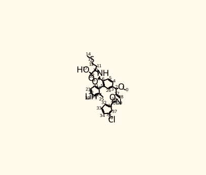 COC(c1ccc(C(=O)NC(CCSC)C(=O)O)c(-c2ccccc2C)c1)c1cnc(-c2cccc(Cl)c2)o1.[LiH]